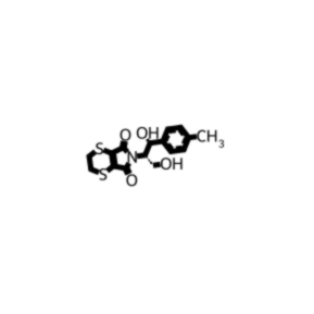 Cc1ccc([C@H](O)[C@H](CO)N2C(=O)C3=C(SCCS3)C2=O)cc1